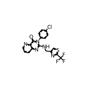 O=c1c2ncccc2nc(NCc2csc(C(F)(F)F)n2)n1-c1ccc(Cl)cc1